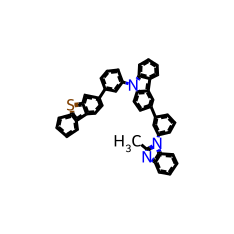 Cc1nc2ccccc2n1-c1cccc(-c2ccc3c(c2)c2ccccc2n3-c2cccc(-c3ccc4c(c3)sc3ccccc34)c2)c1